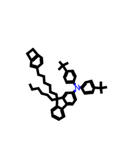 CCCCCCC1(CCCCCCc2ccc3c(c2)CC3)c2ccccc2-c2ccc(N(c3ccc(C(C)(C)C)cc3)c3ccc(C(C)(C)C)cc3)cc21